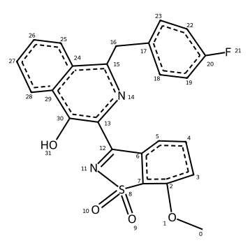 COc1cccc2c1S(=O)(=O)N=C2c1nc(Cc2ccc(F)cc2)c2ccccc2c1O